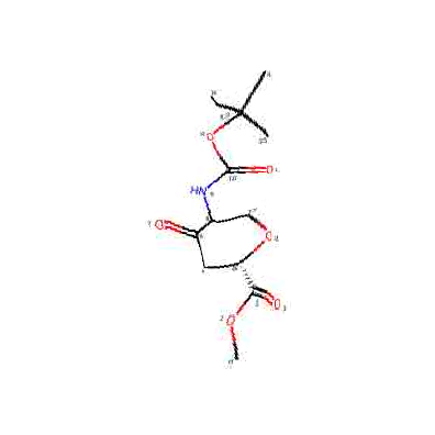 COC(=O)[C@@H]1CC(=O)C(NC(=O)OC(C)(C)C)CO1